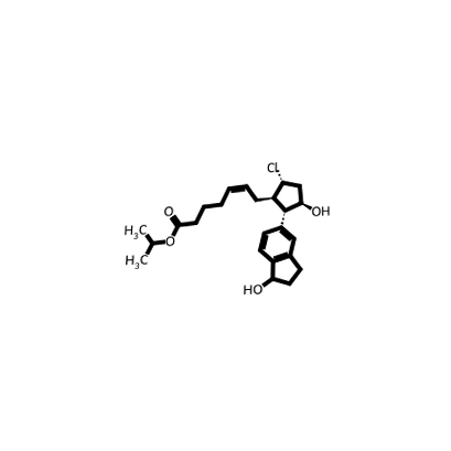 CC(C)OC(=O)CCC/C=C\C[C@@H]1[C@@H](c2ccc3c(c2)CCC3O)[C@H](O)C[C@H]1Cl